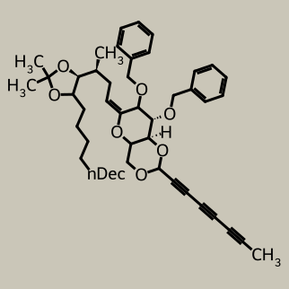 CC#CC#CC#CC1OCC2OC(=CC[C@H](C)[C@@H]3OC(C)(C)OC3CCCCCCCCCCCCCC)C(OCc3ccccc3)[C@H](OCc3ccccc3)[C@H]2O1